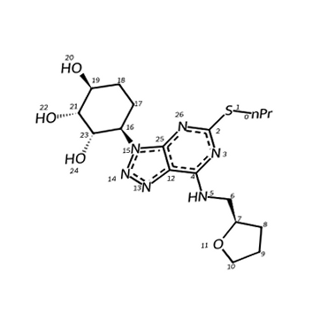 CCCSc1nc(NC[C@H]2CCCO2)c2nnn([C@@H]3CC[C@H](O)[C@@H](O)[C@H]3O)c2n1